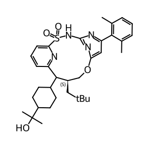 Cc1cccc(C)c1-c1cc2nc(n1)NS(=O)(=O)c1cccc(n1)C(C1CCC(C(C)(C)O)CC1)[C@H](CC(C)(C)C)CO2